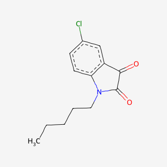 CCCCCN1C(=O)C(=O)c2cc(Cl)ccc21